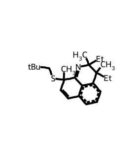 CCC1(C)N=C2c3c(cccc3C1(C)CC)C=CC2(C)SCC(C)(C)C